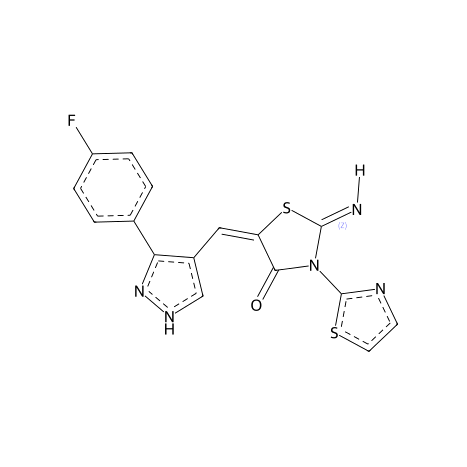 [H]/N=C1\SC(=Cc2c[nH]nc2-c2ccc(F)cc2)C(=O)N1c1nccs1